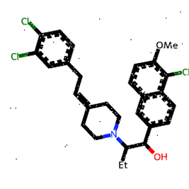 CCC(C(O)c1ccc2c(Cl)c(OC)ccc2c1)N1CCC(=CCc2ccc(Cl)c(Cl)c2)CC1